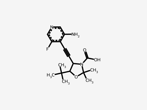 CC(C)(C)C1OC(C)(C)N(C(=O)O)C1C#Cc1c(N)cncc1F